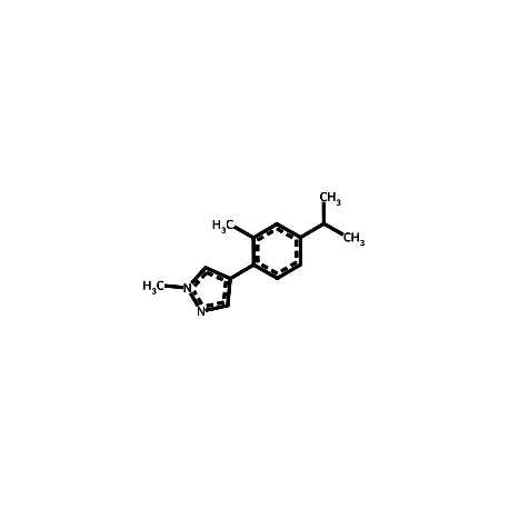 Cc1cc(C(C)C)ccc1-c1cnn(C)c1